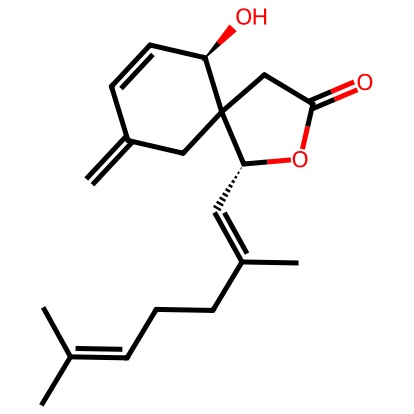 C=C1C=C[C@@H](O)C2(C1)CC(=O)O[C@@H]2/C=C(\C)CCC=C(C)C